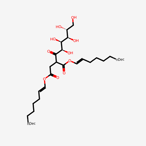 CCCCCCCCCCCCCCC=COC(=O)CC(C(=O)OC=CCCCCCCCCCCCCCC)C(=O)[C@H](O)[C@@H](O)[C@H](O)[C@H](O)CO